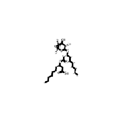 CCCCCCC[C@H](CC(=O)O)OC(=O)C[C@@H](CCCCCCC)OC1O[C@@H]2O[C@@H]2C(O)[C@@H]1O